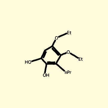 CCCc1c(O)c(O)cc(OCC)c1OCC